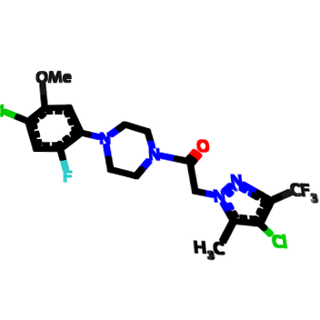 COc1cc(N2CCN(C(=O)Cn3nc(C(F)(F)F)c(Cl)c3C)CC2)c(F)cc1Cl